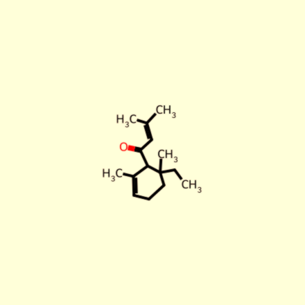 CCC1(C)CCC=C(C)C1C(=O)C=C(C)C